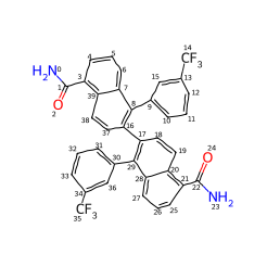 NC(=O)c1cccc2c(-c3cccc(C(F)(F)F)c3)c(-c3ccc4c(C(N)=O)cccc4c3-c3cccc(C(F)(F)F)c3)ccc12